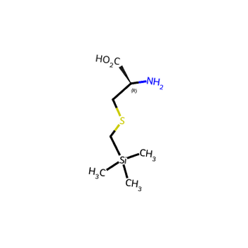 C[Si](C)(C)CSC[C@H](N)C(=O)O